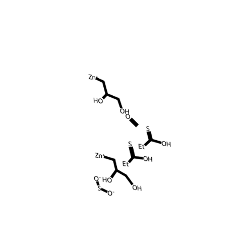 C=O.CCC(O)=S.CCC(O)=S.OCC(O)[CH2][Zn+].OCC(O)[CH2][Zn+].[O-]S[O-]